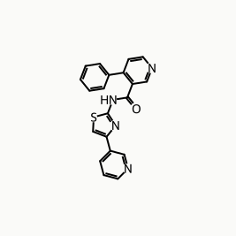 O=C(Nc1nc(-c2cccnc2)cs1)c1cnccc1-c1ccccc1